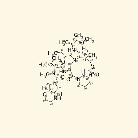 C=C(NCC1N(CCCC)C[C@H](NC(=O)[C@H](C(C)C)N(C)C(=O)N2C[C@@H]3OCCN[C@@H]3C2)C(=O)N2CCC[C@H](N2)C(=O)OCC1(C)C)[C@H](C)OC